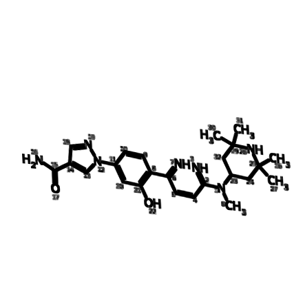 CN(C(=N)/C=C\C(=N)c1ccc(-n2cc(C(N)=O)cn2)cc1O)C1CC(C)(C)NC(C)(C)C1